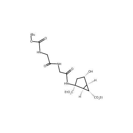 CCOC(=O)[C@H]1[C@H]2[C@@H]1[C@](NC(=O)CNC(=O)CNC(=O)OC(C)(C)C)(C(=O)OCC)C[C@@H]2O